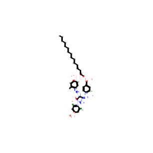 CCCCCCCCCCCCCCCCOC(=O)c1ccc(NC2=NN(c3c(Cl)cc(OC)cc3Cl)C(=O)C2/N=N/c2ccc(O)cc2C)c(Cl)c1